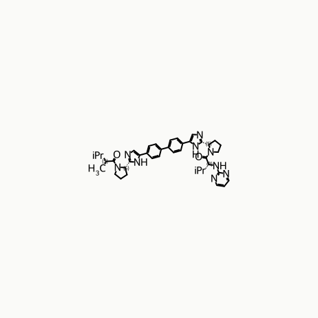 CC(C)[C@H](C)C(=O)N1CCC[C@H]1c1ncc(-c2ccc(-c3ccc(-c4cnc([C@@H]5CCCN5C(=O)[C@H](Nc5ncccn5)C(C)C)[nH]4)cc3)cc2)[nH]1